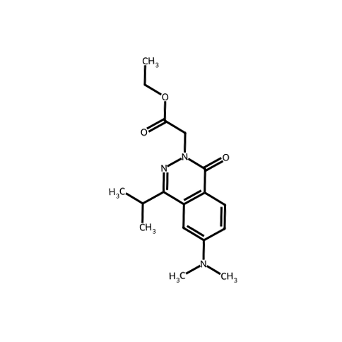 CCOC(=O)Cn1nc(C(C)C)c2cc(N(C)C)ccc2c1=O